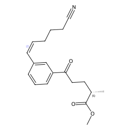 COC(=O)[C@@H](C)CCC(=O)c1cccc(/C=C\CCCC#N)c1